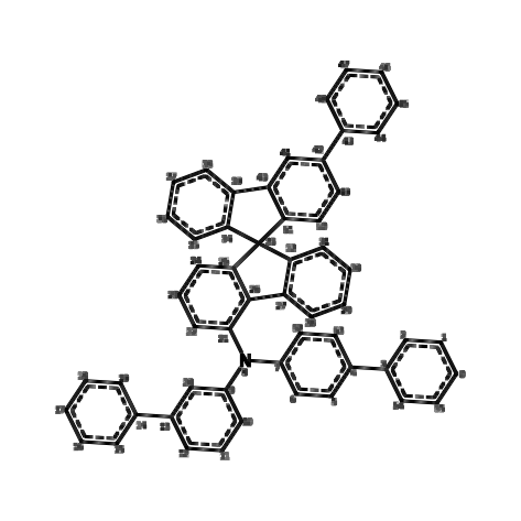 c1ccc(-c2ccc(N(c3cccc(-c4ccccc4)c3)c3cccc4c3-c3ccccc3C43c4ccccc4-c4cc(-c5ccccc5)ccc43)cc2)cc1